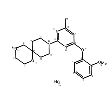 COc1ccccc1Oc1cc(C)nc(N2CCC3(CC2)CNCCO3)n1.Cl